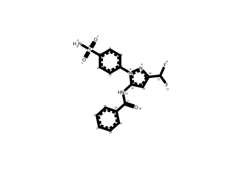 NS(=O)(=O)c1ccc(-n2nc(C(F)F)cc2NC(=O)c2ccccc2)cc1